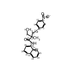 CCC(C)(CSc1ccc([N+](=O)[O-])cc1)C(=O)Nc1cccc2cccnc12